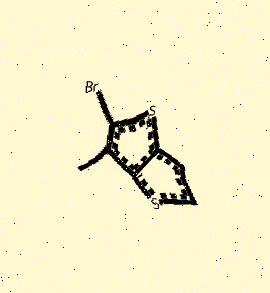 Cc1c(Br)sc2ccsc12